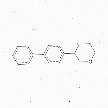 [C]1CCOCC1c1ccc(-c2ccccc2)cc1